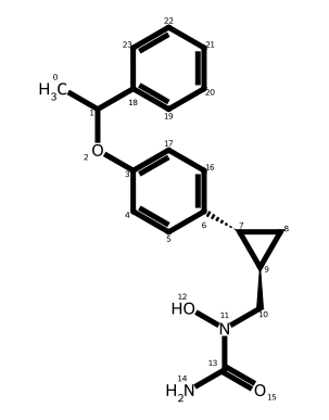 CC(Oc1ccc([C@@H]2C[C@H]2CN(O)C(N)=O)cc1)c1ccccc1